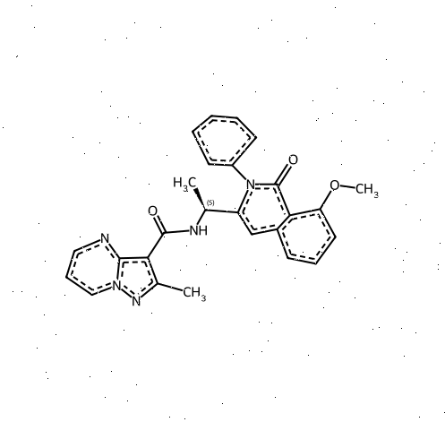 COc1cccc2cc([C@H](C)NC(=O)c3c(C)nn4cccnc34)n(-c3ccccc3)c(=O)c12